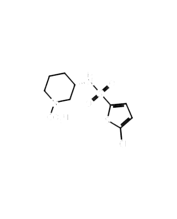 O=C(O)N1CCC[C@H](NS(=O)(=O)c2ccc(Cl)s2)C1